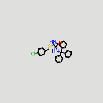 O=C1N[C@@H](SCc2ccc(Cl)cc2)[C@@H]1NC(c1ccccc1)(c1ccccc1)c1ccccc1